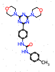 Cc1ccc(NC(=O)Nc2ccc(-c3nc(N4CCOCC4)nc(N4CCOCC4)n3)cc2)cc1